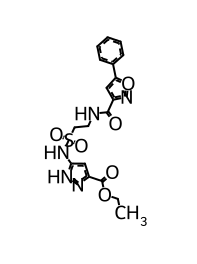 CCOC(=O)c1cc(NS(=O)(=O)CCNC(=O)c2cc(-c3ccccc3)on2)[nH]n1